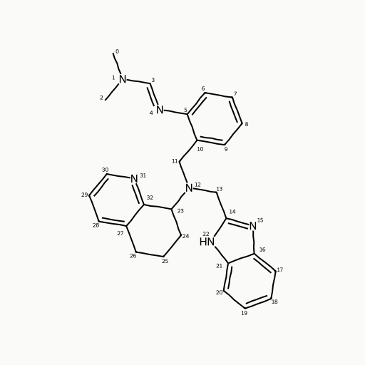 CN(C)C=Nc1ccccc1CN(Cc1nc2ccccc2[nH]1)C1CCCc2cccnc21